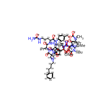 CCCCN(C(=O)C[C@@H](OC)[C@H]([C@@H](C)CC)N(C)C(=O)[C@@H](NC(=O)[C@H](C(C)C)N(C)C(=O)OCc1ccc(NC(=O)[C@H](CCCNC(N)=O)NC(=O)C(NC(=O)C2(N3C(=O)C=CC3=O)CN(CCCCc3ccccc3)C2)C(C)C)cc1)C(C)C)[C@H](OC)[C@@H](C)C(=O)N[C@H](C)[C@@H](O)c1ccccc1